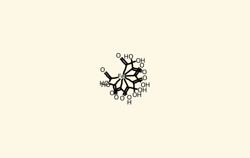 O=[C](O)[Fe]([C](=O)O)([C](=O)O)([C](=O)O)([C](=O)O)([C](=O)O)([C](=O)O)[C](=O)O